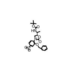 CC(NC(=O)OC(C)(C)C)[C@@H]1CN(c2ccc([N+](=O)[O-])cc2OCc2ccccc2)C(=O)O1